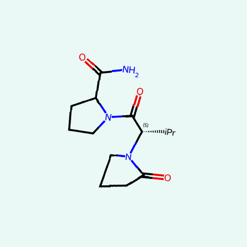 CC(C)[C@@H](C(=O)N1CCCC1C(N)=O)N1CCCC1=O